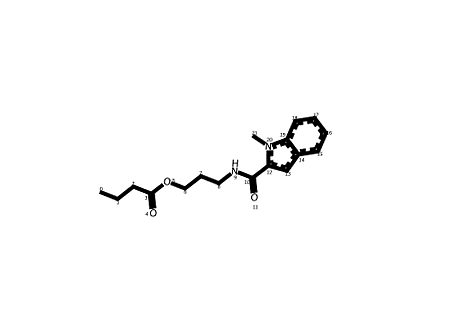 CCCC(=O)OCCCNC(=O)c1cc2ccccc2n1C